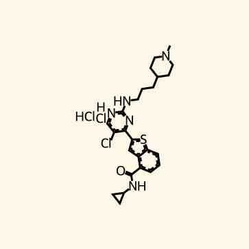 CN1CCC(CCCNc2ncc(Cl)c(-c3cc4c(C(=O)NC5CC5)cccc4s3)n2)CC1.Cl.Cl